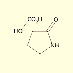 O=C(O)O.O=C1CCCN1